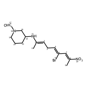 C/C(=C\CC=C(Br)/C=C(\C)[N+](=O)[O-])NC1CCCN(C=O)C1